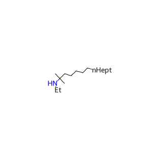 [CH2]CNC(C)(C)CCCCCCCCCCCC